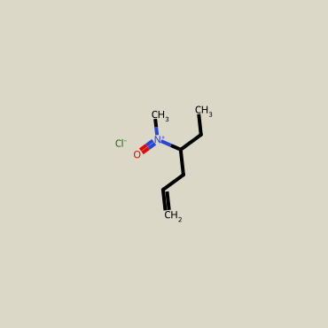 C=CCC(CC)[N+](C)=O.[Cl-]